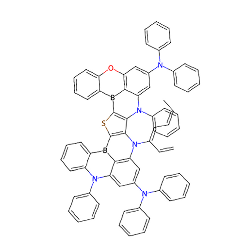 C=C/C(=C\C=C/C)N1c2cc(N(c3ccccc3)c3ccccc3)cc3c2B(c2ccccc2N3c2ccccc2)c2sc3c(c21)N(c1ccccc1)c1cc(N(c2ccccc2)c2ccccc2)cc2c1B3c1ccccc1O2